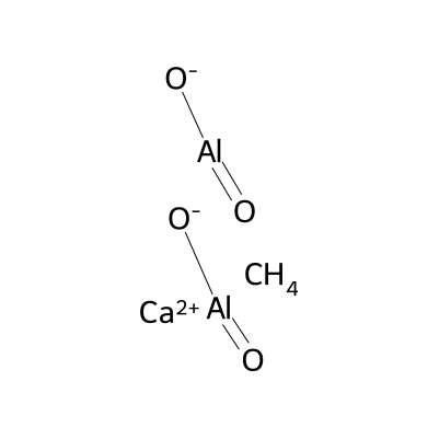 C.[Ca+2].[O]=[Al][O-].[O]=[Al][O-]